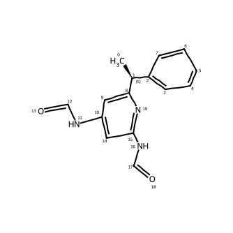 C[C@@H](c1ccccc1)c1cc(NC=O)cc(NC=O)n1